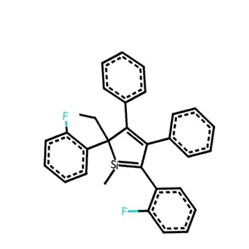 CCC1(c2ccccc2F)C(c2ccccc2)=C(c2ccccc2)C(c2ccccc2F)=[Si]1C